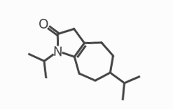 CC(C)C1CCC2=C(CC1)N(C(C)C)C(=O)C2